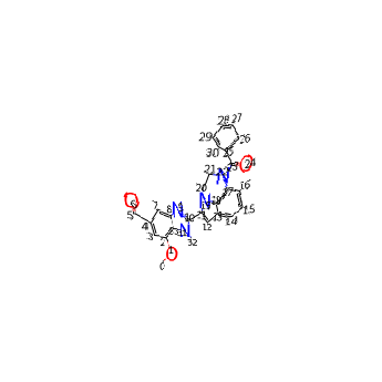 COc1cc(C=O)cc2nc(-c3cc4cccc5c4n3CCN5C(=O)c3ccccc3)n(C)c12